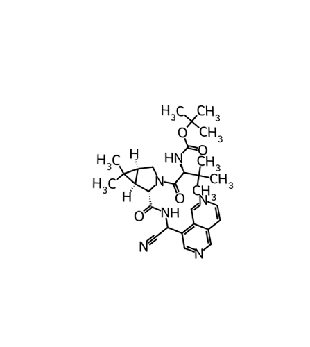 CC(C)(C)OC(=O)N[C@H](C(=O)N1C[C@H]2[C@@H]([C@H]1C(=O)NC(C#N)c1cncc3ccncc13)C2(C)C)C(C)(C)C